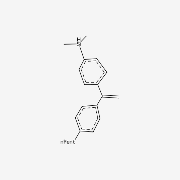 C=C(c1ccc(CCCCC)cc1)c1ccc([SiH](C)C)cc1